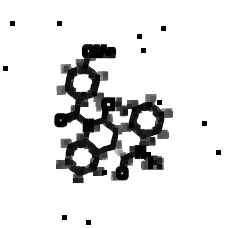 CCN(C(=O)[C@H]1C[C@H](C)N(C(=O)c2ccc(OC)cc2)c2ccccc21)c1ccccc1